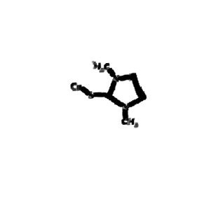 CN1CCN(C)C1[S][Cu]